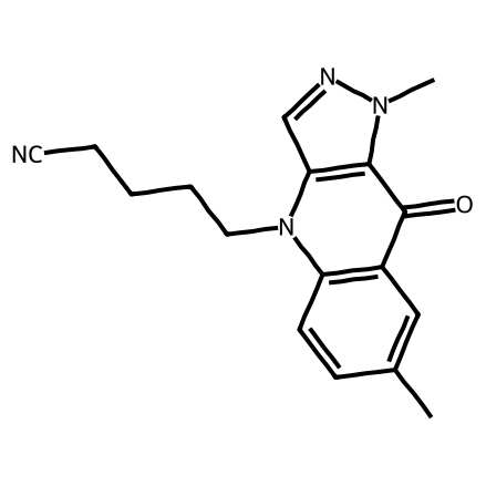 Cc1ccc2c(c1)c(=O)c1c(cnn1C)n2CCCCC#N